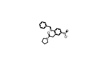 O=C(Cc1cc([N+](=O)[O-])ccc1N=Cc1ccccc1)N1CCCC1